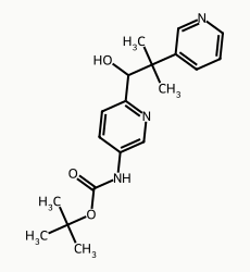 CC(C)(C)OC(=O)Nc1ccc(C(O)C(C)(C)c2cccnc2)nc1